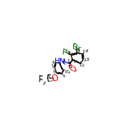 O=C(Nc1ccc(OC(F)(F)F)cc1)c1cccc(Br)c1F